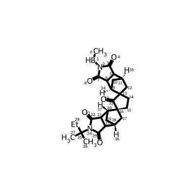 CBN1C(=O)C2C(C1=O)[C@H]1C[C@@H]2CC12CC[C@]1(C[C@H]3C[C@@H]1C1C(=O)N(C(C)(C)CC)C(=O)C13)C2=O